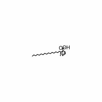 CCCCCCCCCCCCCCCCc1c(C(=O)O)ccc[n+]1C